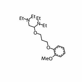 CCN(CC)CC(OCCCOc1ccccc1OC)N(CC)CC